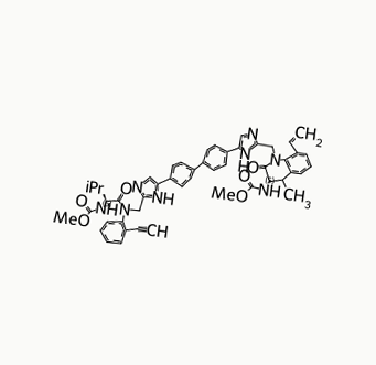 C#Cc1ccccc1N(Cc1ncc(-c2ccc(-c3ccc(-c4cnc(CN5C(=O)[C@@H](NC(=O)OC)C(C)c6cccc(C=C)c65)[nH]4)cc3)cc2)[nH]1)C(=O)[C@@H](NC(=O)OC)C(C)C